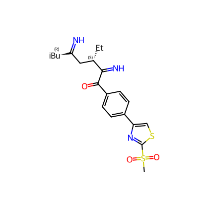 CC[C@@H](CC(=N)[C@H](C)CC)C(=N)C(=O)c1ccc(-c2csc(S(C)(=O)=O)n2)cc1